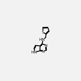 c1csc(CNc2ncnc3[nH]ccc23)c1